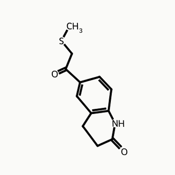 CSCC(=O)c1ccc2c(c1)CCC(=O)N2